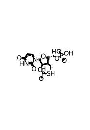 O=c1ccn([C@@H]2O[C@H](COP(=O)(O)O)C(F)C2O[PH](=O)S)c(=O)[nH]1